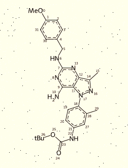 COc1ccc(CNc2nc(N)c3c(n2)c(C)nn3-c2ccc(NC(=O)OC(C)(C)C)cc2C)cc1